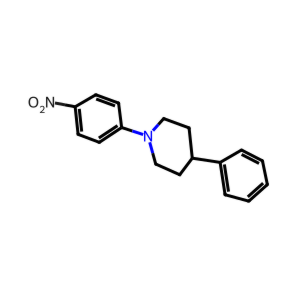 O=[N+]([O-])c1ccc(N2CCC(c3ccccc3)CC2)cc1